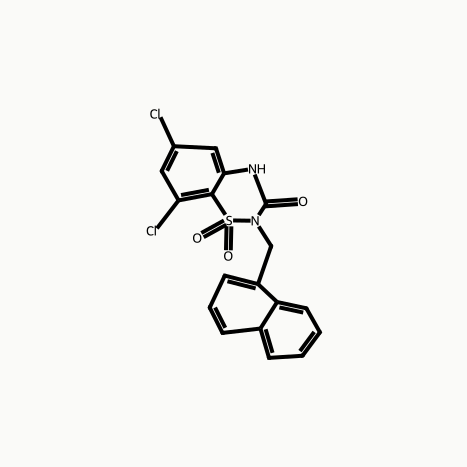 O=C1Nc2cc(Cl)cc(Cl)c2S(=O)(=O)N1Cc1cccc2ccccc12